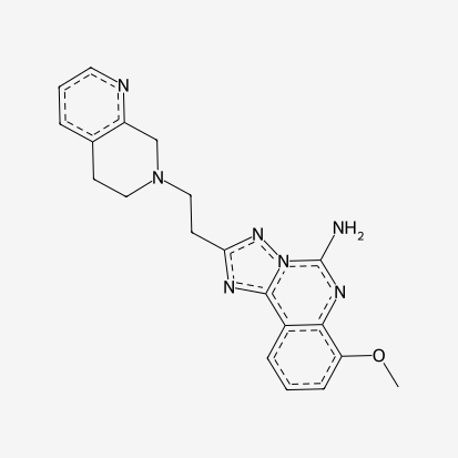 COc1cccc2c1nc(N)n1nc(CCN3CCc4cccnc4C3)nc21